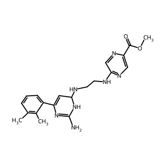 COC(=O)c1cnc(NCCNC2C=C(c3cccc(C)c3C)N=C(N)N2)cn1